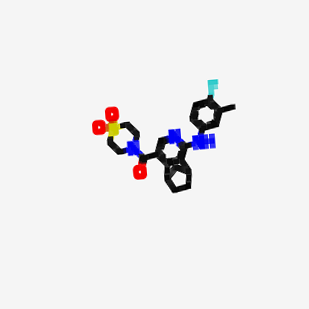 Cc1cc(Nc2ncc(C(=O)N3CCS(=O)(=O)CC3)c3c2C2CCC3C2)ccc1F